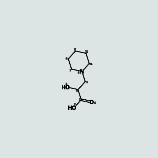 O=C(O)C(O)CN1CCCCC1